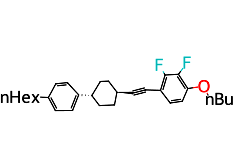 CCCCCCc1ccc([C@H]2CC[C@H](C#Cc3ccc(OCCCC)c(F)c3F)CC2)cc1